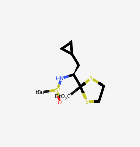 CCOC(=O)C1([C@H](CC2CC2)N[S+]([O-])C(C)(C)C)SCCS1